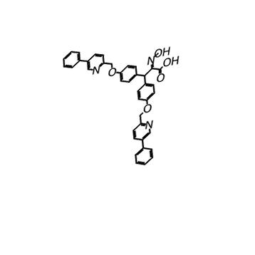 O=C(O)C(=NO)C(c1ccc(OCc2ccc(-c3ccccc3)cn2)cc1)c1ccc(OCc2ccc(-c3ccccc3)cn2)cc1